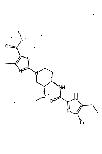 CCc1[nH]c(C(=O)N[C@@H]2CCN(c3nc(C)c(C(=O)NC)s3)C[C@@H]2OC)nc1Cl